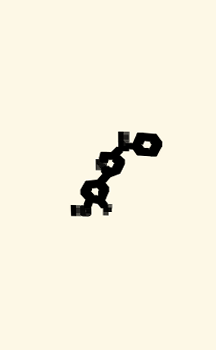 Oc1ccc(-c2ccc(Nc3ccccc3)cn2)cc1F